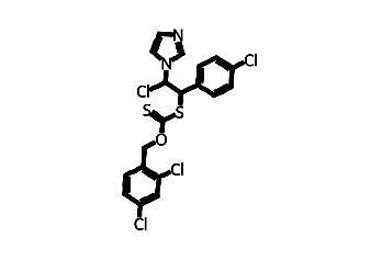 S=C(OCc1ccc(Cl)cc1Cl)SC(c1ccc(Cl)cc1)C(Cl)n1ccnc1